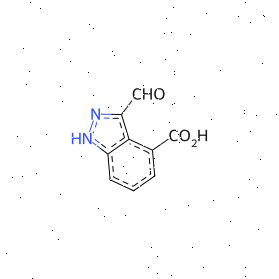 O=Cc1n[nH]c2cccc(C(=O)O)c12